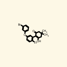 CCc1ccc(Oc2cccc(Br)c2)cc1C1=C(O)CC(C)(C)CC1=O